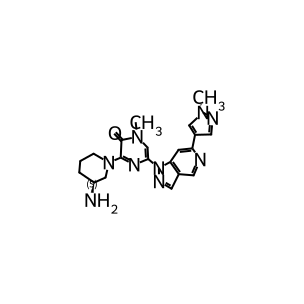 Cn1cc(-c2cc3c(cn2)cnn3-c2cn(C)c(=O)c(N3CCC[C@H](N)C3)n2)cn1